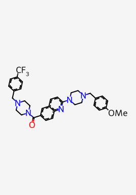 COc1ccc(CN2CCN(c3ccc4cc(C(=O)N5CCN(Cc6ccc(C(F)(F)F)cc6)CC5)ccc4n3)CC2)cc1